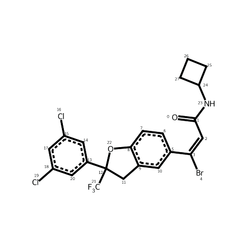 O=C(/C=C(/Br)c1ccc2c(c1)CC(c1cc(Cl)cc(Cl)c1)(C(F)(F)F)O2)NC1CCC1